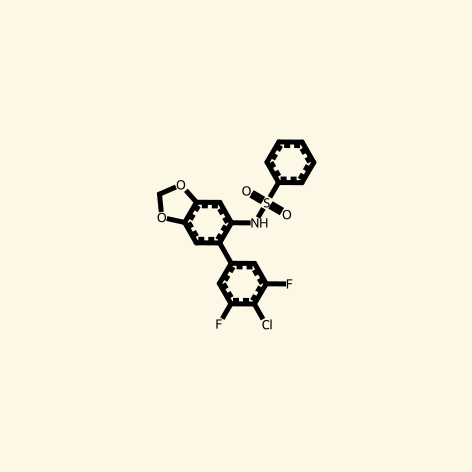 O=S(=O)(Nc1cc2c(cc1-c1cc(F)c(Cl)c(F)c1)OCO2)c1ccccc1